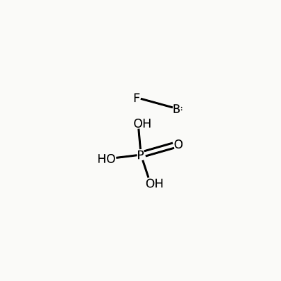 O=P(O)(O)O.[B]F